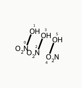 O=[N+]([O-])O.O=[N+]([O-])O.O=[N+]([O-])O